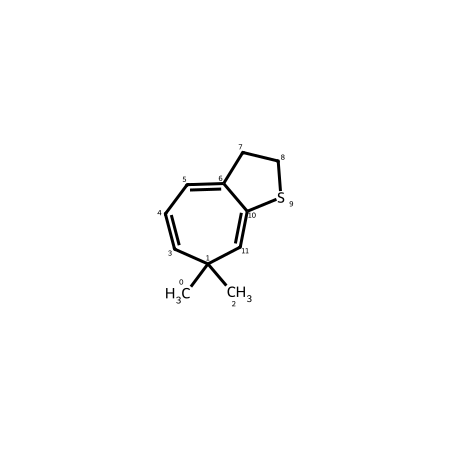 CC1(C)C=CC=C2CCSC2=C1